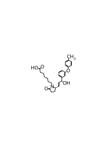 Cc1ccc(Oc2cccc(C(O)/C=C/[C@H]3CCC(=O)N3CCCCCCC(=O)O)c2)cc1